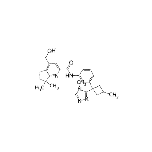 CC1CC(c2cccc(NC(=O)c3cc(CO)c4c(n3)C(C)(C)CC4)c2)(c2nncn2C)C1